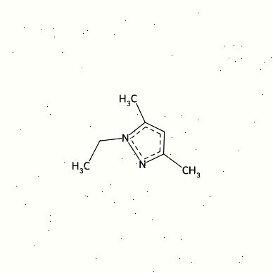 CCn1nc(C)cc1C